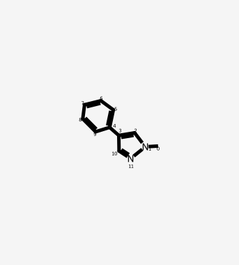 Cn1cc(-c2cc[c]cc2)cn1